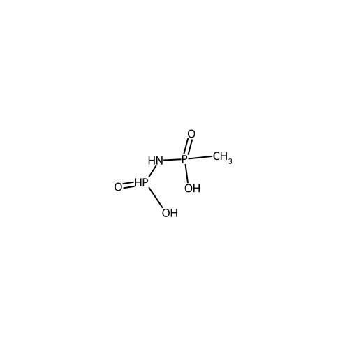 CP(=O)(O)N[PH](=O)O